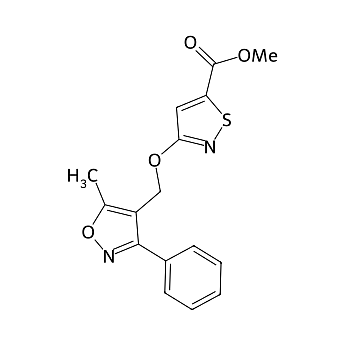 COC(=O)c1cc(OCc2c(-c3ccccc3)noc2C)ns1